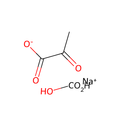 CC(=O)C(=O)[O-].O=C(O)O.[Na+]